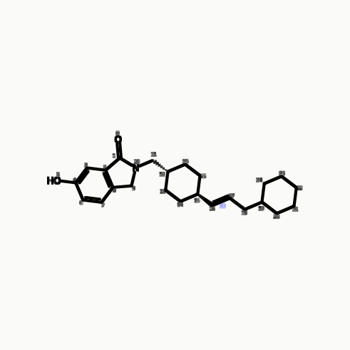 O=C1c2cc(O)ccc2CN1C[C@H]1CC[C@H](/C=C/CC2CCCCC2)CC1